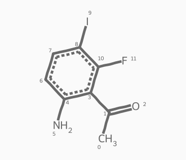 CC(=O)c1c(N)ccc(I)c1F